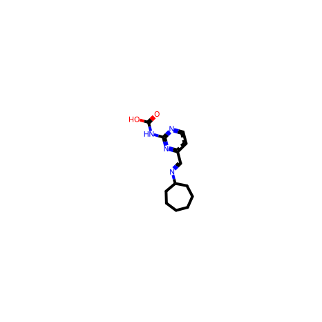 O=C(O)Nc1nccc(C=NC2CCCCCC2)n1